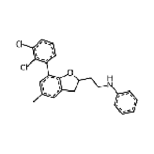 Cc1cc2c(c(-c3cccc(Cl)c3Cl)c1)OC(CCNc1ccccc1)C2